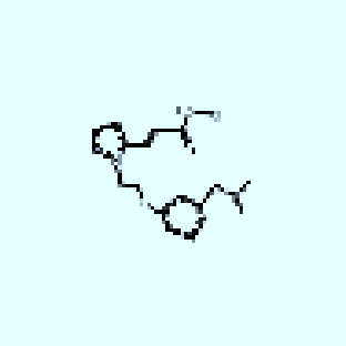 CN(C)Cc1cccc(OCCn2cccc2C=CC(=O)NO)c1